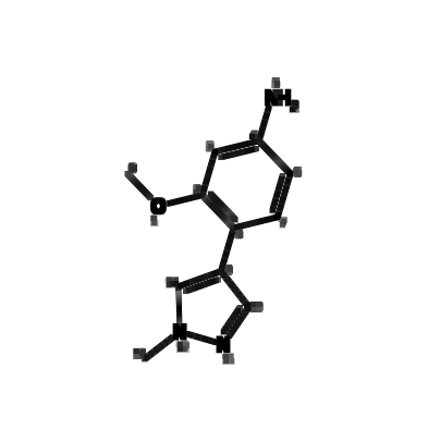 COc1cc(N)ccc1-c1cnn(C)c1